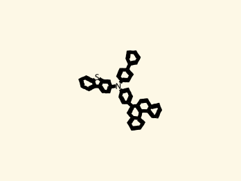 c1ccc(-c2ccc(N(c3ccc(-c4cc5ccccc5c5c4ccc4ccccc45)cc3)c3ccc4c(c3)sc3ccccc34)cc2)cc1